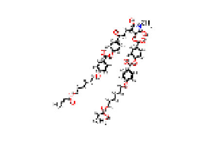 C=CC(=O)OCCCCCCOc1ccc(C(=O)Oc2ccc(C(=O)CC[C@H]3C(=O)N(C)C(=O)[C@@H]3OC(=O)c3ccc(OC(=O)c4ccc(OCCCCCCOC(=O)C=C)cc4)cc3)cc2)cc1